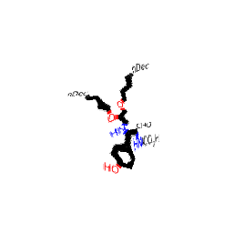 CCCCCCCCCCCCCCOCC(CNC(c1ccc(O)cc1)[C@@H](C=O)NC(=O)O)OCCCCCCCCCCCCCC